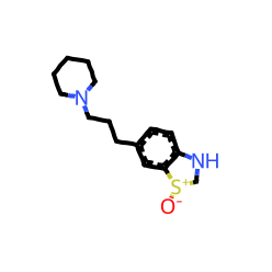 [O-][S+]1CNc2ccc(CCCN3CCCCC3)cc21